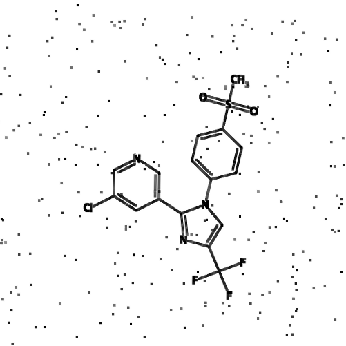 CS(=O)(=O)c1ccc(-n2cc(C(F)(F)F)nc2-c2cncc(Cl)c2)cc1